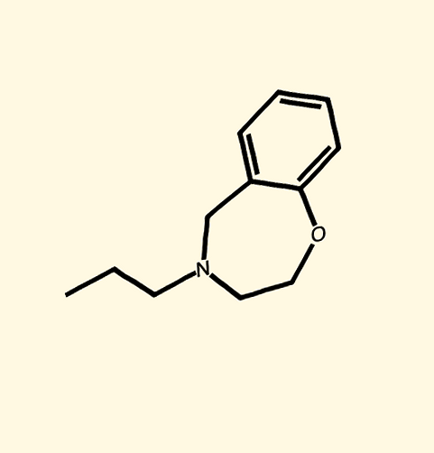 CCCN1CCOc2ccccc2C1